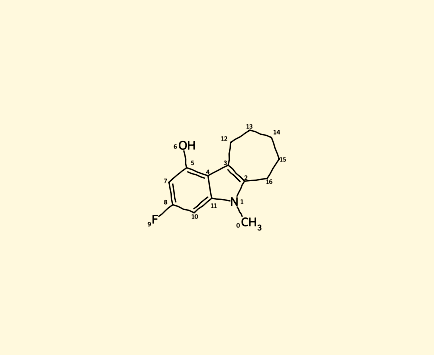 Cn1c2c(c3c(O)cc(F)cc31)CCCCC2